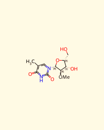 CO[C@@H]1[C@@H](O)[C@@H](CO)O[C@H]1n1cc(C)c(=O)[nH]c1=O